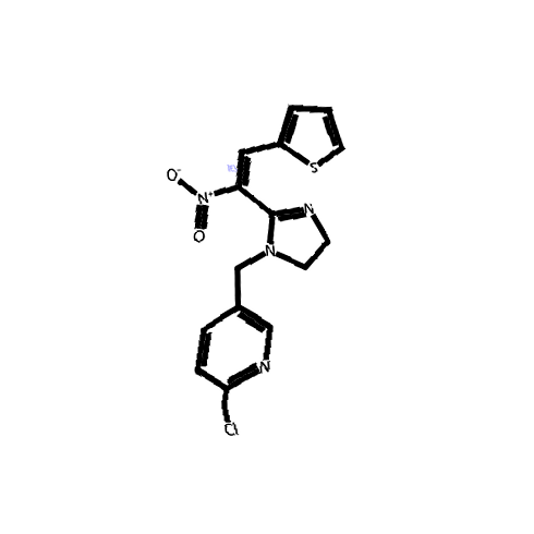 O=[N+]([O-])/C(=C/c1cccs1)C1=NCCN1Cc1ccc(Cl)nc1